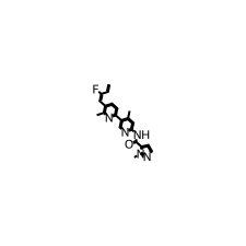 C=C/C(F)=C\c1ccc(-c2cnc(NC(=O)c3ccnn3C)cc2C)nc1C